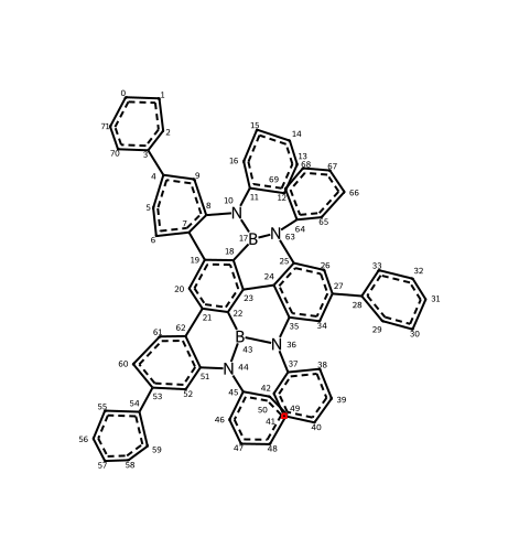 c1ccc(-c2ccc3c(c2)N(c2ccccc2)B2c4c-3cc3c5c4-c4c(cc(-c6ccccc6)cc4N(c4ccccc4)B5N(c4ccccc4)c4cc(-c5ccccc5)ccc4-3)N2c2ccccc2)cc1